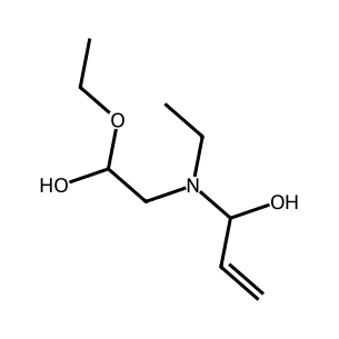 C=CC(O)N(CC)CC(O)OCC